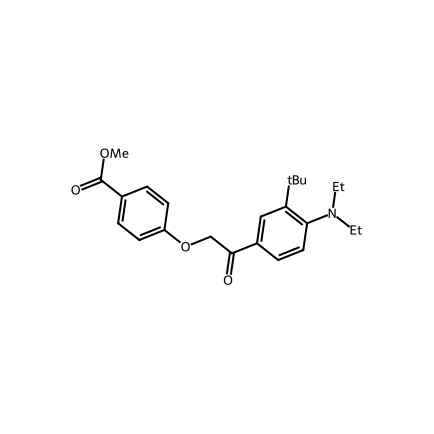 CCN(CC)c1ccc(C(=O)COc2ccc(C(=O)OC)cc2)cc1C(C)(C)C